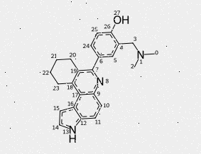 CN(C)Cc1cc(-c2nc3ccc4[nH]ccc4c3c3c2CCCC3)ccc1O